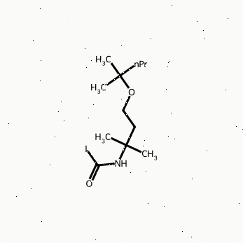 CCCC(C)(C)OCCC(C)(C)NC(=O)I